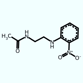 CC(=O)NCCNc1ccccc1[N+](=O)[O-]